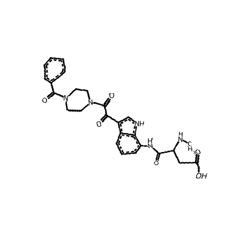 CNC(CC(=O)O)C(=O)Nc1cccc2c(C(=O)C(=O)N3CCN(C(=O)c4ccccc4)CC3)c[nH]c12